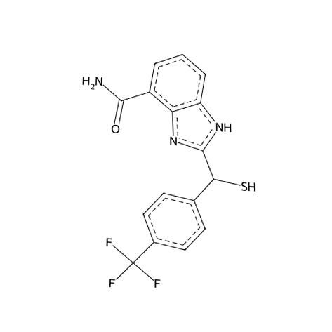 NC(=O)c1cccc2[nH]c(C(S)c3ccc(C(F)(F)F)cc3)nc12